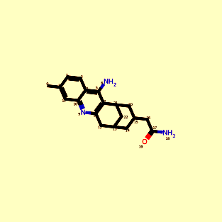 Cc1ccc2c(N)c3c(nc2c1)CC1CC(CC(N)=O)CC3C1